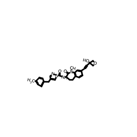 Cc1ccc(Cc2cnn(C(=O)NC3CCc4ccc(C#CC5(O)COC5)cc4N(C)C3=O)c2)cc1